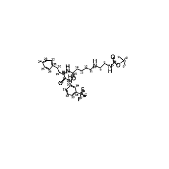 CC(C)(C)OC(=O)NCCNCCCCC(=O)N[C@H](CCc1ccccc1)C(=O)Nc1cccc(C(F)(F)F)c1